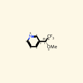 CO[C@H](c1cccnc1)C(F)(F)F